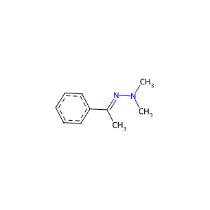 CC(=NN(C)C)c1ccccc1